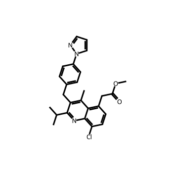 COC(=O)Cc1ccc(Cl)c2nc(C(C)C)c(Cc3ccc(-n4cccn4)cc3)c(C)c12